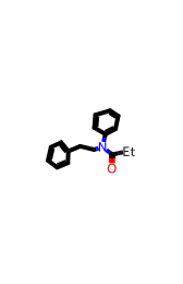 CCC(=O)N(CCc1ccccc1)c1ccccc1